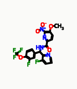 COc1ccc(C(=O)NC(c2ccc(OC(F)(F)F)c(F)c2)c2ncccc2F)nc1[N+](=O)[O-]